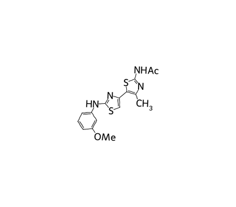 COc1cccc(Nc2nc(-c3sc(NC(C)=O)nc3C)cs2)c1